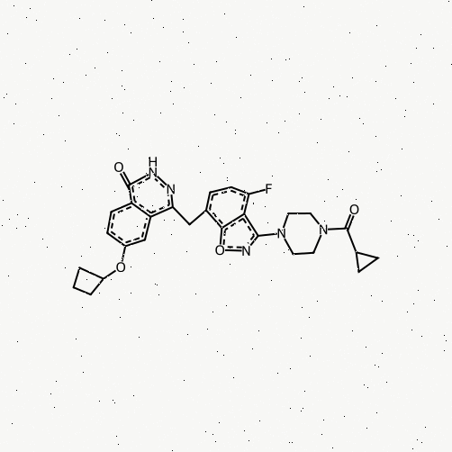 O=C(C1CC1)N1CCN(c2noc3c(Cc4n[nH]c(=O)c5ccc(OC6CCC6)cc45)ccc(F)c23)CC1